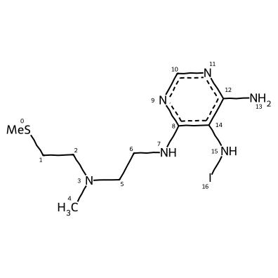 CSCCN(C)CCNc1ncnc(N)c1NI